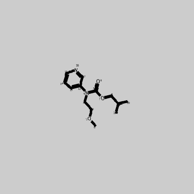 COCCN(C(=O)OCC(C)C)c1cc[c]nc1